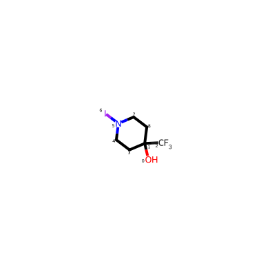 OC1(C(F)(F)F)CCN(I)CC1